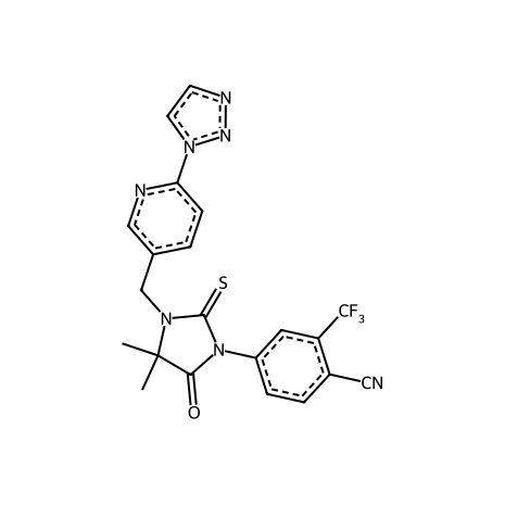 CC1(C)C(=O)N(c2ccc(C#N)c(C(F)(F)F)c2)C(=S)N1Cc1ccc(-n2ccnn2)nc1